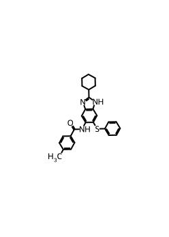 Cc1ccc(C(=O)Nc2cc3nc(C4CCCCC4)[nH]c3cc2Sc2ccccc2)cc1